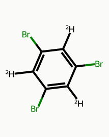 [2H]c1c(Br)c([2H])c(Br)c([2H])c1Br